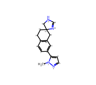 Cn1nccc1-c1ccc2c(c1)CC1(CC2)CNC=N1